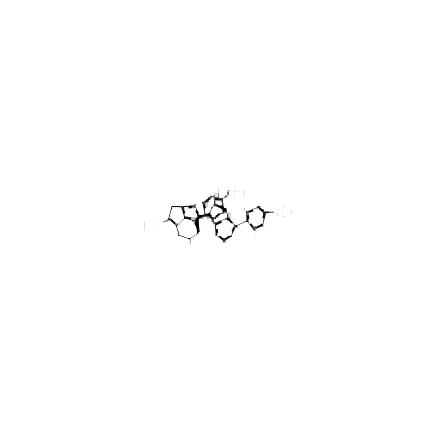 CC1=C2CCc3c(C4C(C(C)C)=Cc5c(-c6ccc(C(C)(C)C)cc6)cccc54)cc(c2c3-c2ccc(C(C)(C)C)cc2)[CH]1